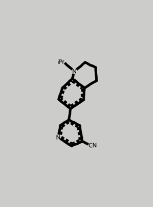 CC(C)N1CCCc2cc(-c3cncc(C#N)c3)ccc21